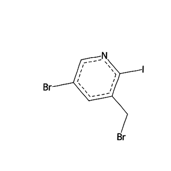 BrCc1cc(Br)cnc1I